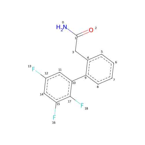 NC(=O)Cc1ccccc1-c1cc(F)cc(F)c1F